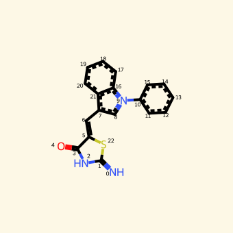 N=C1NC(=O)/C(=C/c2cn(-c3ccccc3)c3ccccc23)S1